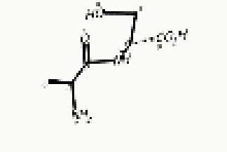 C[C@H](N)C(=O)N[C@H](CO)C(=O)O